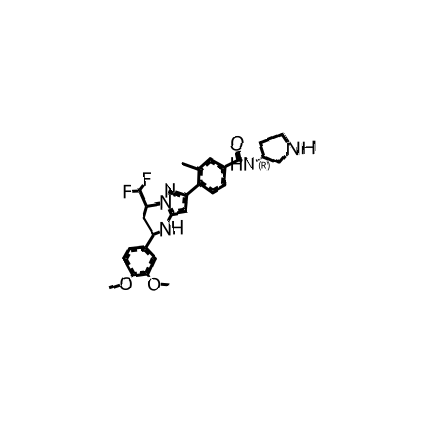 COc1ccc(C2CC(C(F)F)n3nc(-c4ccc(C(=O)N[C@@H]5CCNC5)cc4C)cc3N2)cc1OC